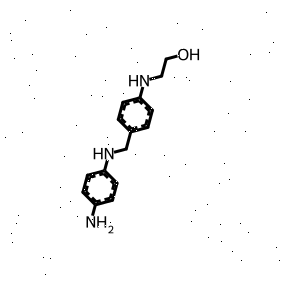 Nc1ccc(NCc2ccc(NCCO)cc2)cc1